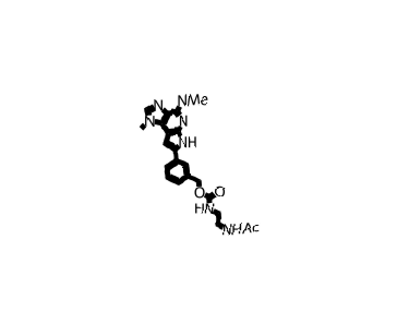 CNc1nc2[nH]c(-c3cccc(COC(=O)NCCNC(C)=O)c3)cc2c2c1ncn2C